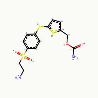 NCCS(=O)(=O)c1ccc(Sc2ccc(COC(N)=O)s2)cc1